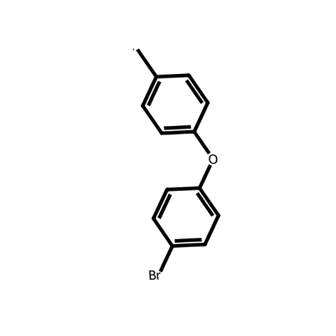 [CH2]c1ccc(Oc2ccc(Br)cc2)cc1